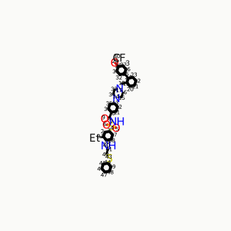 CCc1cc(S(=O)(=O)NC(=O)c2ccc(N3CCN(Cc4ccccc4-c4ccc(OC(F)(F)F)cc4)CC3)cc2)ccc1NCCSc1ccccc1